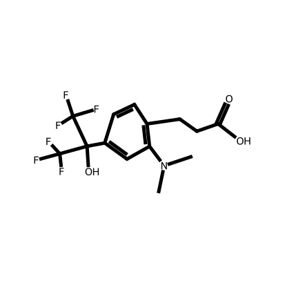 CN(C)c1cc(C(O)(C(F)(F)F)C(F)(F)F)ccc1CCC(=O)O